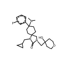 CN(C)C1(c2cccc(F)c2)CCC2(CC1)CN(CC1(O)CCOCC1)C(=O)N2CC1CC1